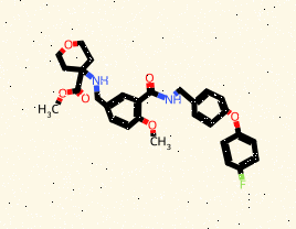 COC(=O)C1(NCc2ccc(OC)c(C(=O)NCc3ccc(Oc4ccc(F)cc4)cc3)c2)CCOCC1